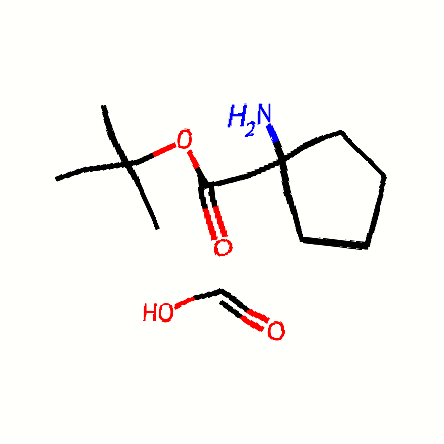 CC(C)(C)OC(=O)C1(N)CCCC1.O=CO